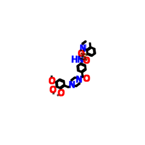 C/C=N\c1c(C)cccc1S(=O)(=O)Nc1ccc(C(=O)N2CCN(Cc3ccc(OC)c(OC)c3OC)CC2)cc1